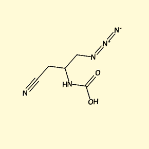 N#CCC(CN=[N+]=[N-])NC(=O)O